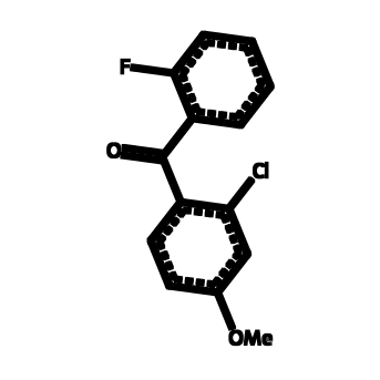 COc1ccc(C(=O)c2ccccc2F)c(Cl)c1